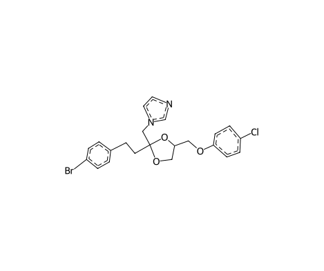 Clc1ccc(OCC2COC(CCc3ccc(Br)cc3)(Cn3ccnc3)O2)cc1